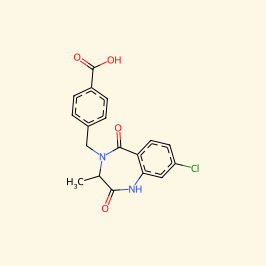 CC1C(=O)Nc2cc(Cl)ccc2C(=O)N1Cc1ccc(C(=O)O)cc1